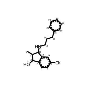 CC1C(O)c2ccc(Cl)cc2C1NCCCc1ccccc1